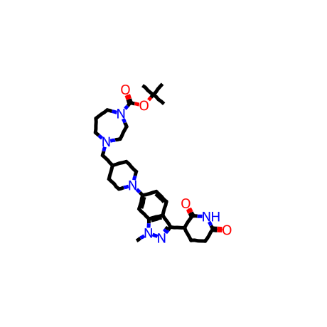 Cn1nc(C2CCC(=O)NC2=O)c2ccc(N3CCC(CN4CCCN(C(=O)OC(C)(C)C)CC4)CC3)cc21